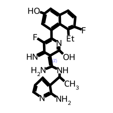 CCc1c(F)ccc2cc(O)cc(C3=C(F)C(=N)/C(=C(\N)NC(C)c4cccnc4N)C(O)=N3)c12